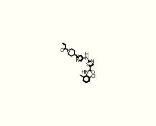 C=CC(=O)N1CCC(n2cc(Nc3ncc(C(=O)Nc4c(C)cccc4Cl)s3)cn2)CC1